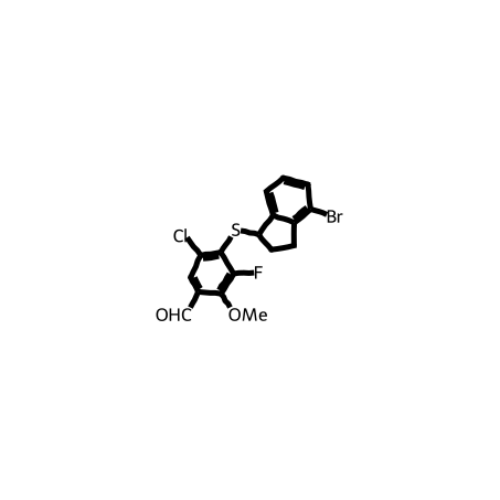 COc1c(C=O)cc(Cl)c(SC2CCc3c(Br)cccc32)c1F